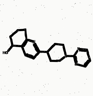 OC1CCCc2nc(C3CCN(c4ncccn4)CC3)ccc21